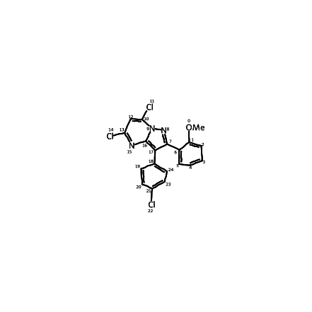 COc1ccccc1-c1nn2c(Cl)cc(Cl)nc2c1-c1ccc(Cl)cc1